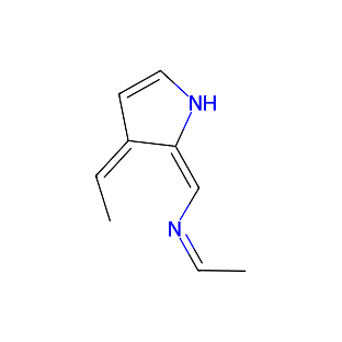 C\C=N/C=c1/[nH]cc/c1=C/C